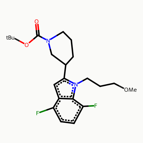 COCCCn1c(C2CCCN(C(=O)OC(C)(C)C)C2)cc2c(F)ccc(F)c21